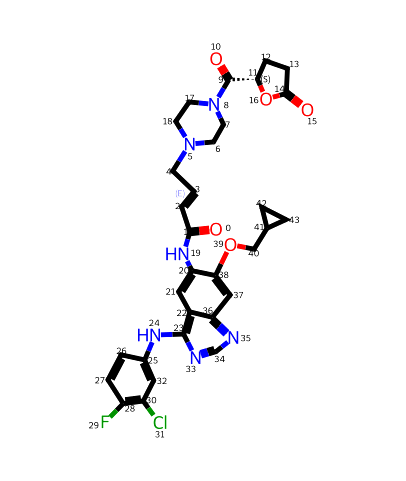 O=C(/C=C/CN1CCN(C(=O)[C@@H]2CCC(=O)O2)CC1)Nc1cc2c(Nc3ccc(F)c(Cl)c3)ncnc2cc1OCC1CC1